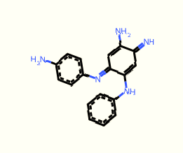 N=C1C=C(Nc2ccccc2)C(=Nc2ccc(N)cc2)C=C1N